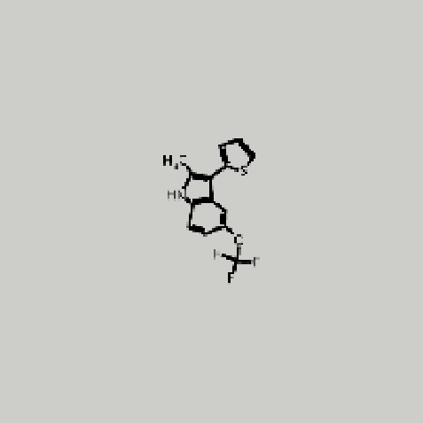 Cc1[nH]c2ccc(OC(F)(F)F)cc2c1-c1cccs1